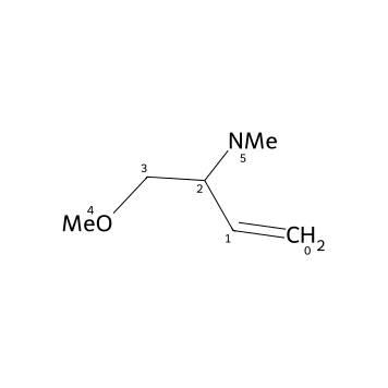 C=CC(COC)NC